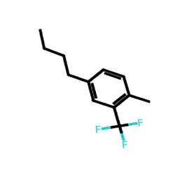 CCCCc1ccc(C)c(C(F)(F)F)c1